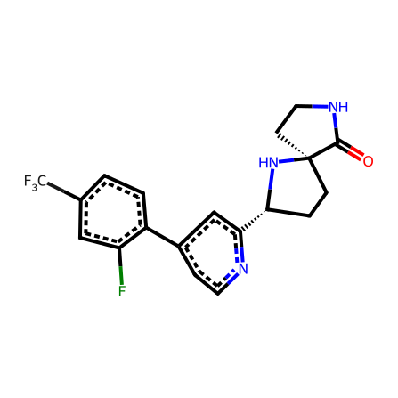 O=C1NCC[C@@]12CC[C@H](c1cc(-c3ccc(C(F)(F)F)cc3F)ccn1)N2